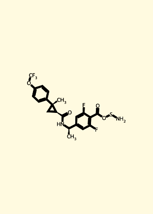 C[C@@H](NC(=O)[C@H]1C[C@]1(C)c1ccc(OC(F)(F)F)cc1)c1cc(F)c(C(=O)OSN)c(F)c1